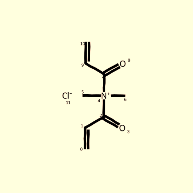 C=CC(=O)[N+](C)(C)C(=O)C=C.[Cl-]